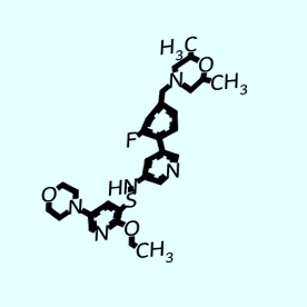 CCOc1ncc(N2CCOCC2)cc1SNc1cncc(-c2ccc(CN3CC(C)OC(C)C3)cc2F)c1